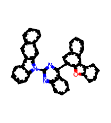 c1ccc2cc3c(cc2c1)c1ccccc1n3-c1nc(-c2cc3ccccc3c3c2oc2ccccc23)c2ccccc2n1